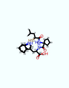 CC(C)CC(S)C(=O)NC1(C(=O)NC(Cc2c[nH]c3ccccc23)C(=O)O)CCCC1